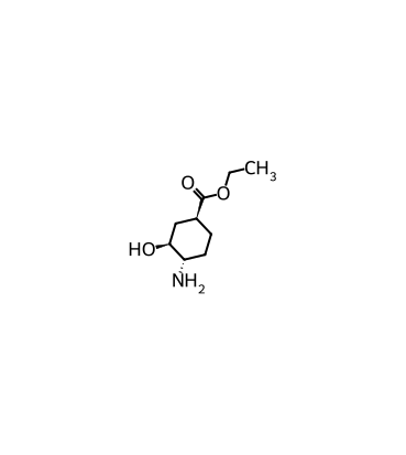 CCOC(=O)[C@H]1CC[C@H](N)[C@@H](O)C1